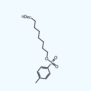 CCCCCCCCCCCCCCCCCOS(=O)(=O)c1ccc(C)cc1